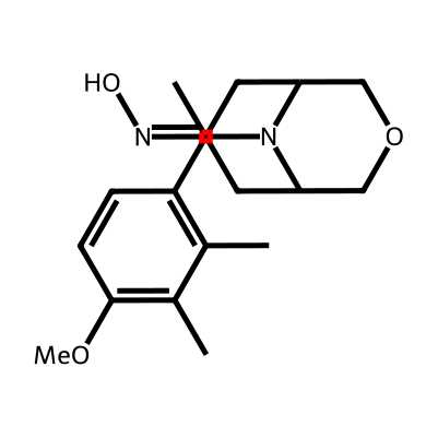 COc1ccc(C(C)N2C3COCC2CC(=NO)C3)c(C)c1C